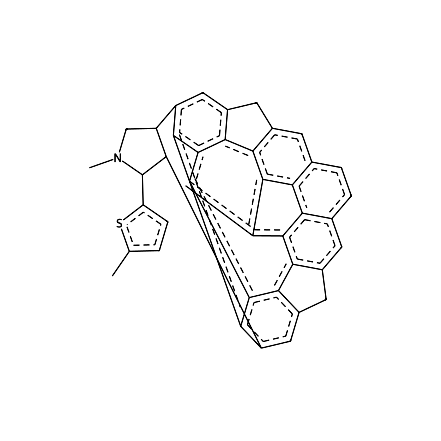 Cc1ccc(C2C3c4cc5c6c7c(cc8ccc9cc%10c%11c%12c(cc(c%13c4c6c(c%13%12)c4c%11c9c8c74)C3CN2C)C%10)C5)s1